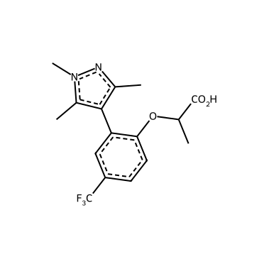 Cc1nn(C)c(C)c1-c1cc(C(F)(F)F)ccc1OC(C)C(=O)O